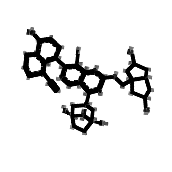 C#Cc1cccc2c(O)ccc(-c3ncc4c(N5C[C@H]6CC[C@@H](C5)N6)nc(OCC56CC(CC)CN5CC(CC)C6)nc4c3F)c12